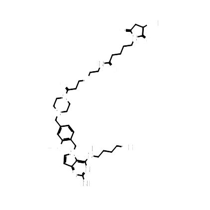 CCCCCNc1nc(N)nc2ccn(Cc3ccc(CN4CCN(C(=O)CCOCCNC(=O)CCCCN5C(=O)CC(C)C5=O)CC4)cc3C)c12